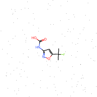 CC(C)(F)c1cc(NC(=O)O)no1